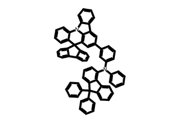 c1ccc(N(c2cccc(-c3cc4c5c(c3)c3ccccc3n5-c3ccccc3C43c4ccccc4-c4ccccc43)c2)c2cccc3c2-c2ccccc2C3(c2ccccc2)c2ccccc2)cc1